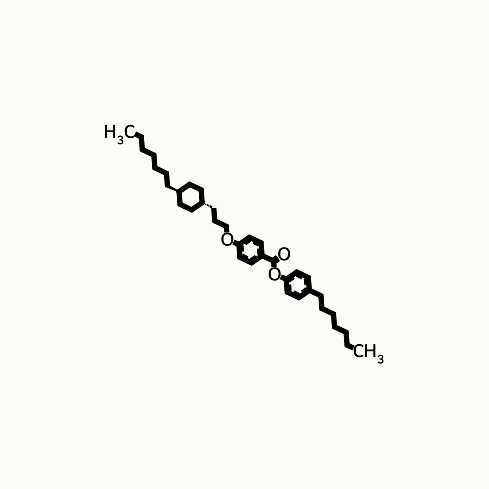 CCCCCCCc1ccc(OC(=O)c2ccc(OCCC[C@H]3CC[C@H](CCCCCCC)CC3)cc2)cc1